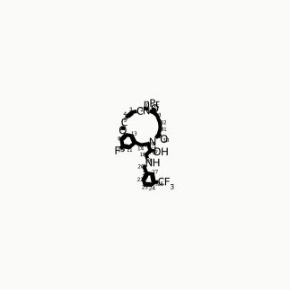 CCCN1C/C=C\COc2cc(F)cc(c2)CC(C(O)CNCc2cccc(C(F)(F)F)c2)NC(=O)CCCC1=O